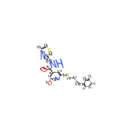 COc1cc(C(=O)Nc2nccs2)cc(SCCCc2ccccc2)n1